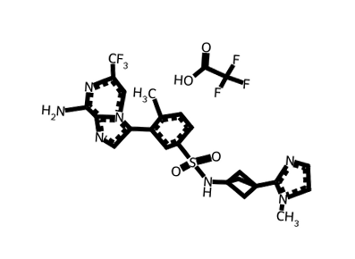 Cc1ccc(S(=O)(=O)NC23CC(c4nccn4C)(C2)C3)cc1-c1cnc2c(N)nc(C(F)(F)F)cn12.O=C(O)C(F)(F)F